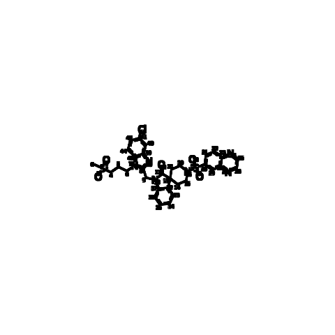 CS(=O)(=O)CCCn1c(CN2C(=O)C3(CCN(S(=O)(=O)c4ccc5nccnc5c4)CC3)c3ccccc32)nc2cc(Cl)ccc21